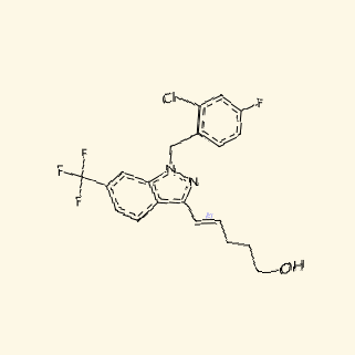 OCCC/C=C/c1nn(Cc2ccc(F)cc2Cl)c2cc(C(F)(F)F)ccc12